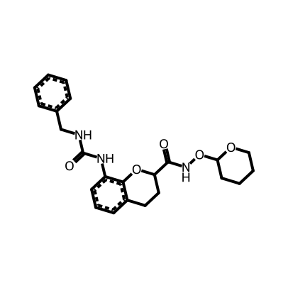 O=C(NCc1ccccc1)Nc1cccc2c1OC(C(=O)NOC1CCCCO1)CC2